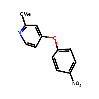 COc1cc(Oc2ccc([N+](=O)[O-])cc2)ccn1